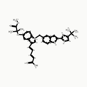 COC(=O)C(C)(C)Oc1ccc2c(c1)c(C=CC=CC(=O)O)cn2Cc1ccc2oc(-c3nc(C(C)(C)C)cs3)cc2c1